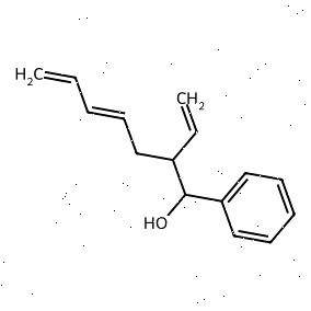 C=CC=CCC(C=C)C(O)c1ccccc1